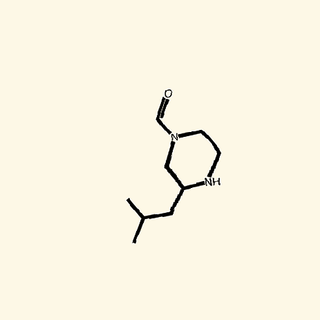 CC(C)CC1CN(C=O)CCN1